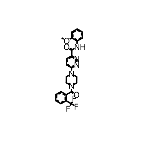 COc1ccccc1NC(=O)c1ccc(N2CCN(C(=O)c3ccccc3C(F)(F)F)CC2)nn1